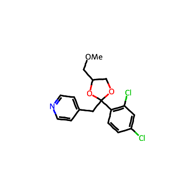 COCC1COC(Cc2ccncc2)(c2ccc(Cl)cc2Cl)O1